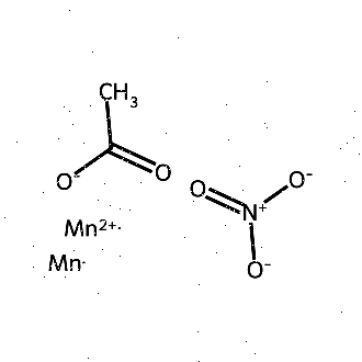 CC(=O)[O-].O=[N+]([O-])[O-].[Mn+2].[Mn]